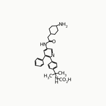 CC(C)(NC(=O)O)c1ccc(-c2ncc(NC(=O)CC3CCC(N)CC3)cc2-c2ccccc2)cc1